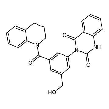 O=C(c1cc(CO)cc(-n2c(=O)[nH]c3ccccc3c2=O)c1)N1CCCc2ccccc21